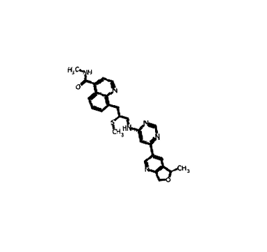 CNC(=O)c1ccnc2c(CC(CNc3cc(-c4cnc5c(c4)[C@@H](C)OC5)ncn3)SC)cccc12